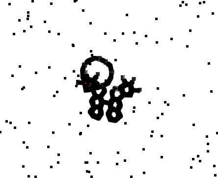 CCc1c(-c2cc(F)c(F)c(F)c2)cc2ccccc2c1-c1c(CN2CCOCCOCCOCCOCC2)c(-c2cc(F)c(F)c(F)c2)cc2ccccc12